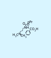 CCCOC(=O)NCCCN(C)C.O=C(O)c1ccccc1